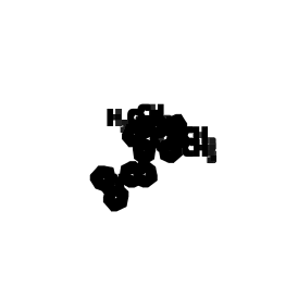 CC1(C)c2ccccc2-c2c(N(c3cccc(-c4cccc5cc(-n6c7ccccc7c7ccccc76)ccc45)c3)c3cccc4c3-c3ccccc3C4(C)C)cccc21